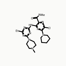 CCc1nc(Nc2nc(N3CCCCC3)c(Cl)nc2C(=O)NC)nc(N2CCN(C)CC2)n1